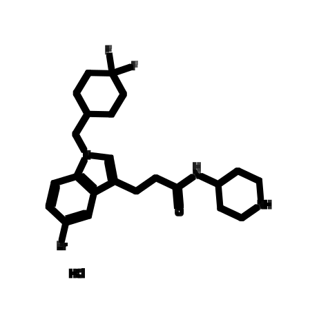 Cl.O=C(CCc1cn(CC2CCC(F)(F)CC2)c2ccc(Br)cc12)NC1CCNCC1